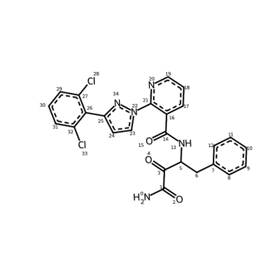 NC(=O)C(=O)C(Cc1ccccc1)NC(=O)c1cccnc1-n1ccc(-c2c(Cl)cccc2Cl)n1